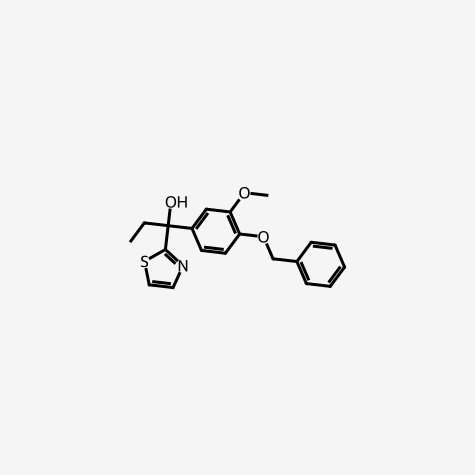 CCC(O)(c1ccc(OCc2ccccc2)c(OC)c1)c1nccs1